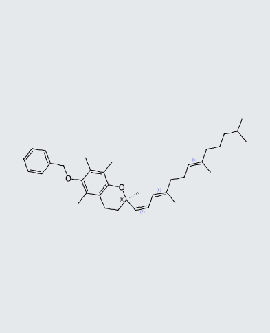 C/C(=C\C=C/[C@@]1(C)CCc2c(C)c(OCc3ccccc3)c(C)c(C)c2O1)CC/C=C(\C)CCCC(C)C